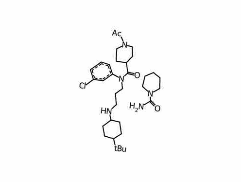 CC(=O)N1CCC(C(=O)N(CCCNC2CCC(C(C)(C)C)CC2)c2cccc(Cl)c2)CC1.NC(=O)N1CCCCC1